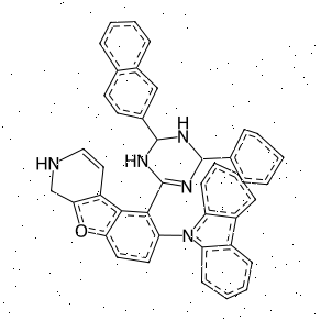 C1=Cc2c(oc3ccc(-n4c5ccccc5c5ccccc54)c(C4=NC(c5ccccc5)NC(c5ccc6ccccc6c5)N4)c23)CN1